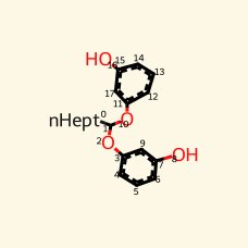 CCCCCCCC(Oc1cccc(O)c1)Oc1cccc(O)c1